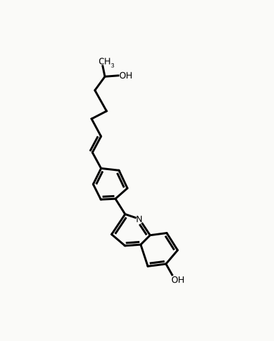 CC(O)CCCC=Cc1ccc(-c2ccc3cc(O)ccc3n2)cc1